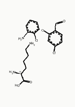 NCCCC[C@H](N)C(=O)O.Nc1ccccc1Cl.O=Cc1ccc(Cl)cc1Cl